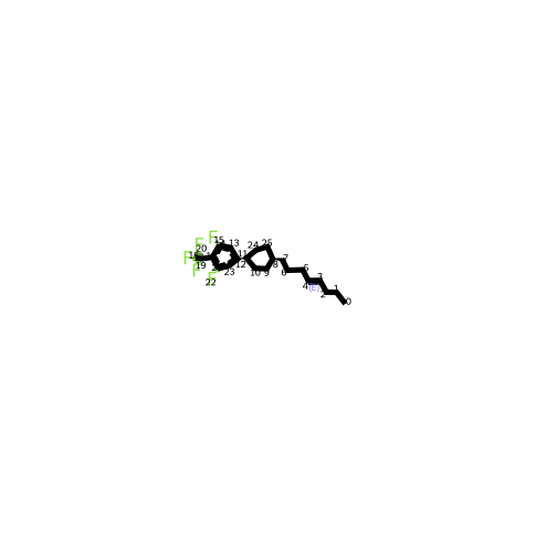 CCC/C=C/CCC[C@H]1CC[C@H](c2cc(F)c(C(F)(F)F)c(F)c2)CC1